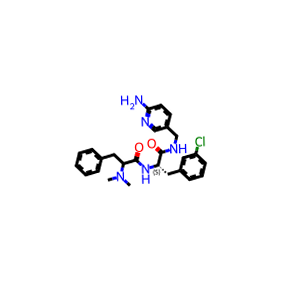 CN(C)C(Cc1ccccc1)C(=O)N[C@@H](Cc1cccc(Cl)c1)C(=O)NCc1ccc(N)nc1